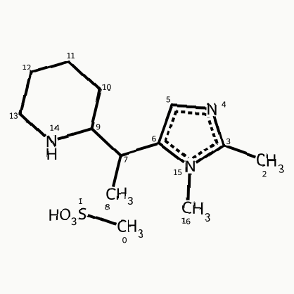 CS(=O)(=O)O.Cc1ncc(C(C)C2CCCCN2)n1C